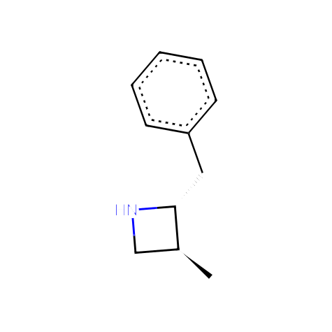 C[C@H]1CN[C@@H]1Cc1ccccc1